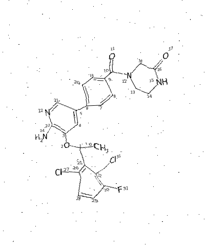 CC(Oc1cc(-c2ccc(C(=O)N3CCNC(=O)C3)cc2)cnc1N)c1c(Cl)ccc(F)c1Cl